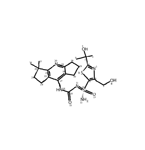 CC(C)(O)c1nc(CO)c([S@@](N)(=O)=NC(=O)Nc2c3c(nc4c2CCC4(C)C)CCC3)s1